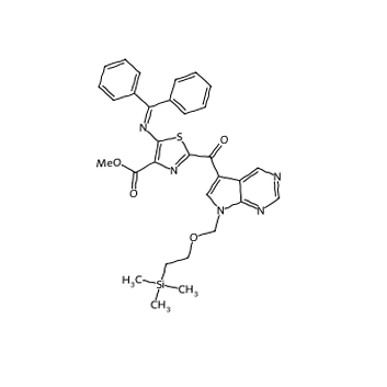 COC(=O)c1nc(C(=O)c2cn(COCC[Si](C)(C)C)c3ncncc23)sc1N=C(c1ccccc1)c1ccccc1